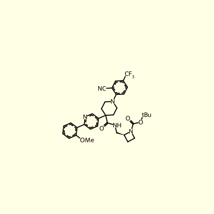 COc1ccccc1-c1ccc(C2(C(=O)NC[C@@H]3CCN3C(=O)OC(C)(C)C)CCN(c3ccc(C(F)(F)F)cc3C#N)CC2)cn1